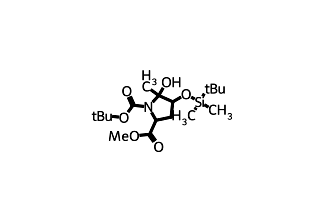 COC(=O)C1CC(O[Si](C)(C)C(C)(C)C)C(C)(O)N1C(=O)OC(C)(C)C